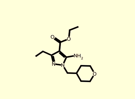 CCOC(=O)c1c(CC)nn(CC2CCOCC2)c1N